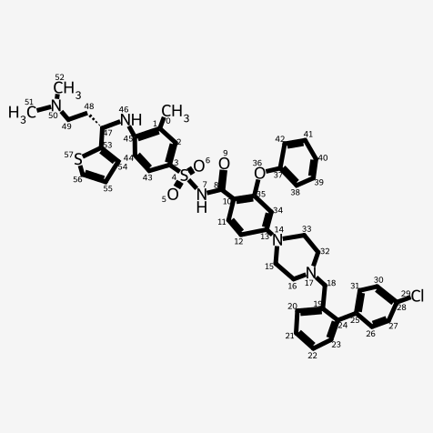 Cc1cc(S(=O)(=O)NC(=O)c2ccc(N3CCN(Cc4ccccc4-c4ccc(Cl)cc4)CC3)cc2Oc2ccccc2)ccc1N[C@@H](CCN(C)C)c1cccs1